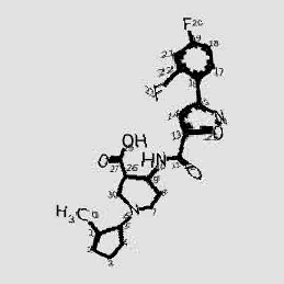 CC1CCCC1N1CCC(NC(=O)c2cc(-c3ccc(F)cc3F)no2)C(C(=O)O)C1